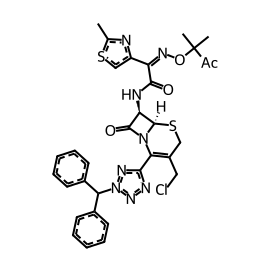 CC(=O)C(C)(C)O/N=C(\C(=O)N[C@@H]1C(=O)N2C(c3nnn(C(c4ccccc4)c4ccccc4)n3)=C(CCl)CS[C@H]12)c1csc(C)n1